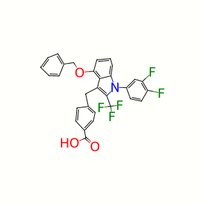 O=C(O)c1ccc(Cc2c(C(F)(F)F)n(-c3ccc(F)c(F)c3)c3cccc(OCc4ccccc4)c23)cc1